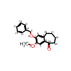 COc1cc2c(cc1OCc1ccccc1)CCCCC2=O